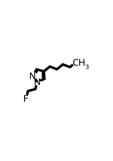 CCCCCc1cnn(CCF)c1